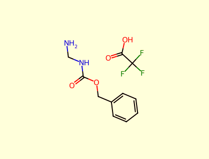 NCNC(=O)OCc1ccccc1.O=C(O)C(F)(F)F